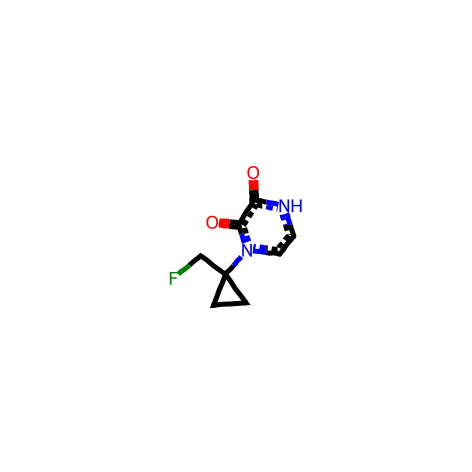 O=c1[nH]ccn(C2(CF)CC2)c1=O